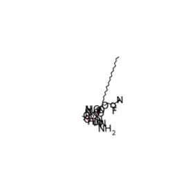 CCCCCCCCCCCCCCCCCCCC[C@H](COP(=O)(O)OC[C@@]1(C#N)OC(c2ccc3c(N)ncnn23)[C@@H]2OC(C)(C)O[C@@H]21)OCc1cc(F)cc(C#N)c1